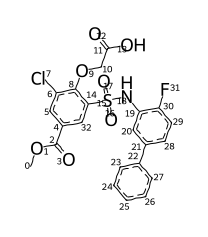 COC(=O)c1cc(Cl)c(OCC(=O)O)c(S(=O)(=O)Nc2cc(-c3ccccc3)ccc2F)c1